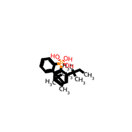 CCC(C)(C)c1ccccc1P(O)(O)(O)c1ccccc1C(C)(C)CC